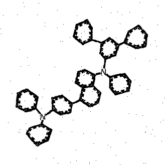 c1ccc(-c2cc(-c3ccccc3)cc(N(c3ccccc3)c3cccc4c(-c5ccc(N(c6ccccc6)c6ccccc6)cc5)cccc34)c2)cc1